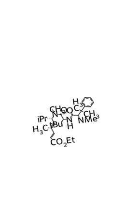 CCOC(=O)/C=C/C(C)=C/[C@H](C(C)C)N(C)C(=O)[C@@H](NC(=O)C(NC)C(C)(C)c1ccccc1)C(C)(C)C